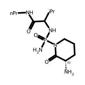 CCCNC(=O)C(NP(N)(=O)N1CCC[C@H](N)C1=O)C(C)C